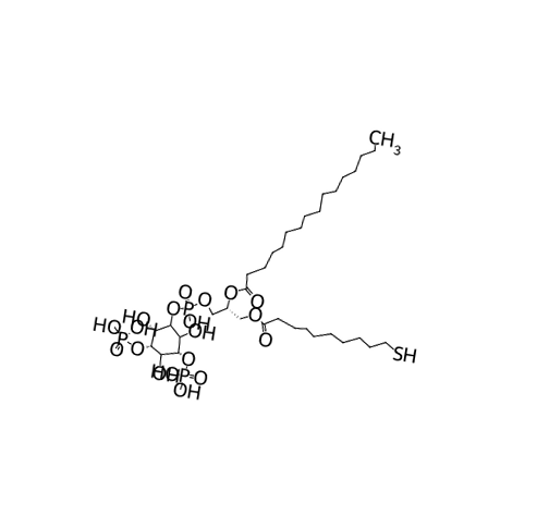 CCCCCCCCCCCCCCCC(=O)O[C@H](COC(=O)CCCCCCCCCS)COP(=O)(O)OC1C(O)[C@H](OP(=O)(O)O)C(O)[C@H](OP(=O)(O)O)[C@@H]1O